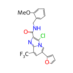 COc1ccccc1CNC(=O)c1nc2c(C(F)(F)F)cc(-c3ccco3)cn2c1Cl